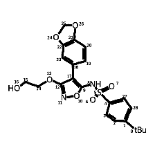 CC(C)(C)c1ccc(S(=O)(=O)Nc2onc(OCCO)c2-c2ccc3c(c2)OCO3)cc1